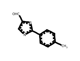 Cc1ccc(-c2ncc(C=O)s2)cc1